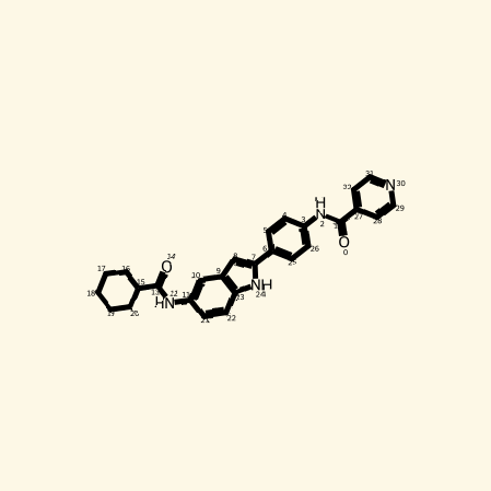 O=C(Nc1ccc(-c2cc3cc(NC(=O)C4CCCCC4)ccc3[nH]2)cc1)c1ccncc1